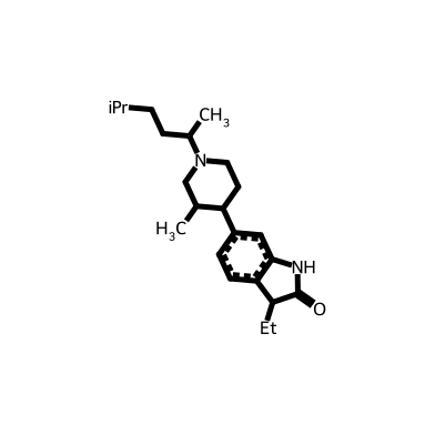 CCC1C(=O)Nc2cc(C3CCN(C(C)CCC(C)C)CC3C)ccc21